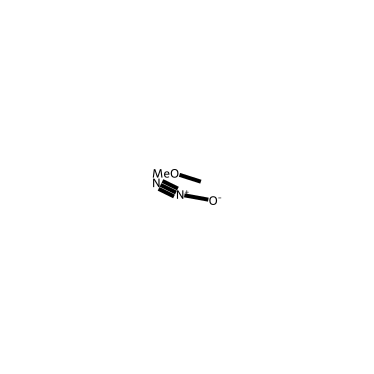 COC.N#[N+][O-]